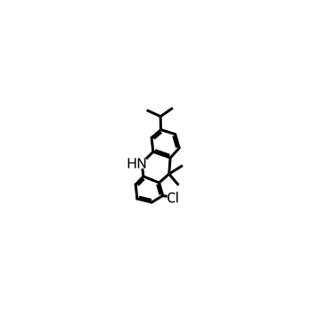 CC(C)c1ccc2c(c1)Nc1cccc(Cl)c1C2(C)C